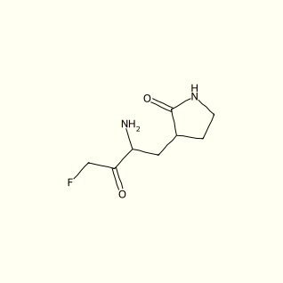 NC(CC1CCNC1=O)C(=O)CF